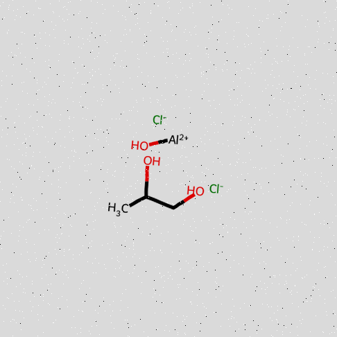 CC(O)CO.[Cl-].[Cl-].[OH][Al+2]